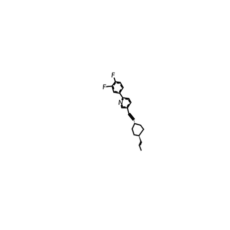 C/C=C/[C@H]1CC[C@H](C#Cc2ccc(-c3ccc(F)c(F)c3)nc2)CC1